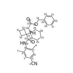 Cc1cc(C#N)cc(C)c1NC(=O)C1([PH]2(CC(=O)OCc3ccccc3)CCCCC2)CCC1